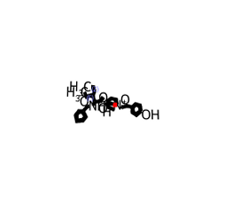 C/C=C\C(=C/C)C(NC(=O)c1ccccc1)C(=O)O[C@H]1C[N+]2(CC(=O)c3ccc(O)cc3)CCC1CC2